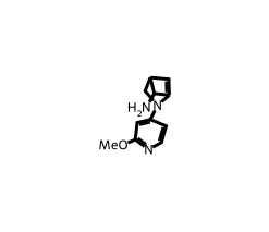 COc1cc(N2CC3C=C2C3N)ccn1